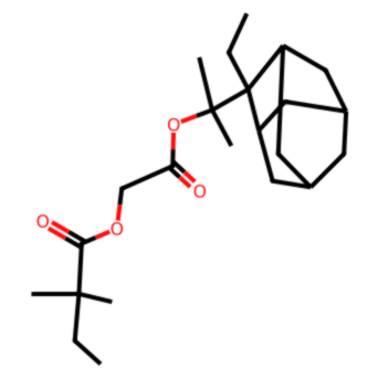 CCC(C)(C)C(=O)OCC(=O)OC(C)(C)C1(CC)C2CC3CC(C2)CC1C3